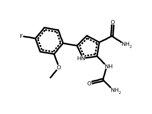 COc1cc(F)ccc1-c1cc(C(N)=O)c(NC(N)=O)[nH]1